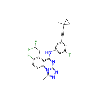 Cc1nnc2nc(Nc3cc(F)cc(C#CC4(C)CC4)c3)c3c(CC(F)F)c(F)ccc3n12